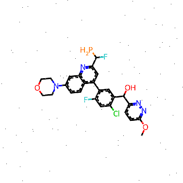 COc1ccc(C(O)c2cc(-c3cc(C(F)P)nc4cc(N5CCOCC5)ccc34)c(F)cc2Cl)nn1